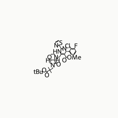 COC(=O)C1=C(CN2CCO[C@H]3CN(CC(C)(C)C(=O)OC(C)(C)C)C(=O)[C@H]32)NC(c2nccs2)=N[C@H]1c1cccc(F)c1Cl